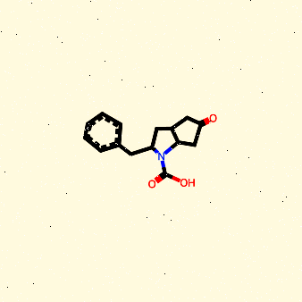 O=C1CC2CC(Cc3ccccc3)N(C(=O)O)C2C1